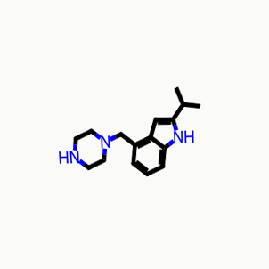 CC(C)c1cc2c(CN3CCNCC3)cccc2[nH]1